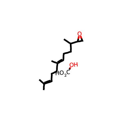 CC(C)=CCC/C(C)=C/CCC(C)C1CO1.O=C(O)O